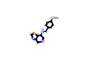 COc1ccc(CNc2cncc3ncsc23)cc1